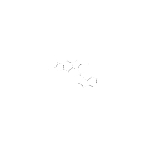 CC1=Cc2ccccc2C1C(C)(C)C1=C(C)Cc2cc3c(C)c(C)sc3cc21